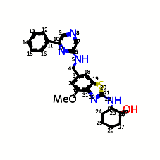 COc1cc(CNc2cncc(-c3ccccc3)n2)cc2sc(N[C@H]3CCCC[C@@H]3O)nc12